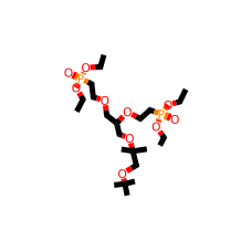 CCOP(=O)(CCOCC(COC(C)(C)COC(C)(C)C)OCCP(=O)(OCC)OCC)OCC